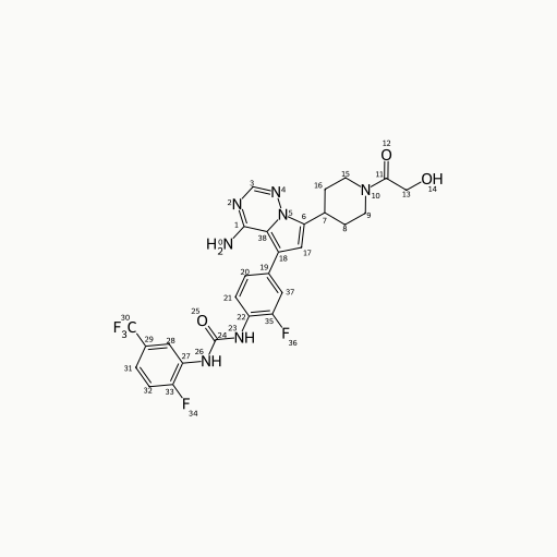 Nc1ncnn2c(C3CCN(C(=O)CO)CC3)cc(-c3ccc(NC(=O)Nc4cc(C(F)(F)F)ccc4F)c(F)c3)c12